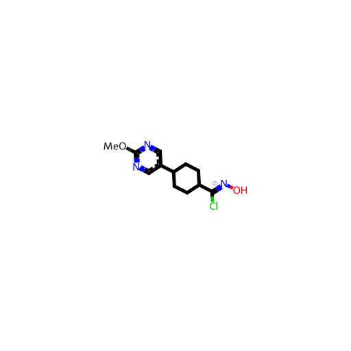 COc1ncc(C2CCC(/C(Cl)=N/O)CC2)cn1